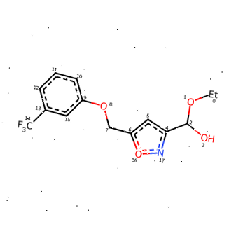 CCOC(O)c1cc(COc2cccc(C(F)(F)F)c2)on1